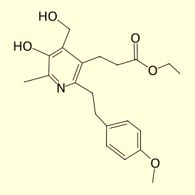 CCOC(=O)CCc1c(CCc2ccc(OC)cc2)nc(C)c(O)c1CO